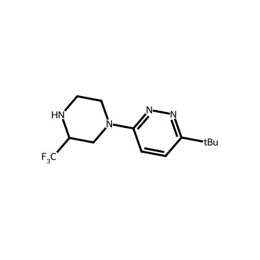 CC(C)(C)c1ccc(N2CCNC(C(F)(F)F)C2)nn1